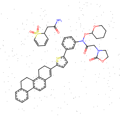 NC(=O)CC1C=CC=CS1(=O)=O.O=C1OCCN1CC(=O)N(OC1CCCCO1)c1cccc(-c2ccc(C3=Cc4ccc5c(c4CC3)CCc3ccccc3-5)s2)c1